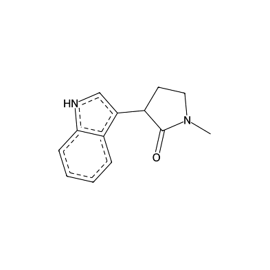 CN1CCC(c2c[nH]c3ccccc23)C1=O